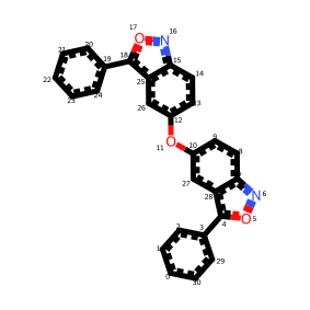 c1ccc(-c2onc3ccc(Oc4ccc5noc(-c6ccccc6)c5c4)cc23)cc1